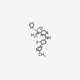 Cc1cn(-c2ccc(Nc3ncc4c(n3)N(C)C(Cc3ccccc3)CO4)cc2F)cn1